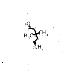 C=CCC(C)(C)CC=O